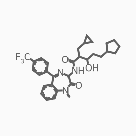 CN1C(=O)C(NC(=O)C(CC2CC2)C(O)CCC2CCCC2)N=C(c2ccc(C(F)(F)F)cc2)c2ccccc21